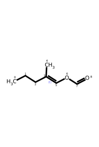 CCC/C(C)=C/O[C]=O